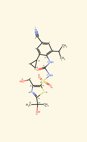 CC(C)c1cc(C#N)cc(C2CC2)c1NC(=O)NS(=O)(=O)c1sc(C(C)(C)O)nc1CO